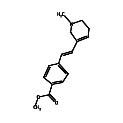 COC(=O)c1ccc(C=CC2=CCCN(C)C2)cc1